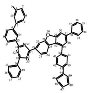 Cc1cccc(-c2cccc(-c3nc(-c4ccccc4)nc(-c4ccc5c(c4)oc4cc(-c6ccccc6)cc(-c6ccc(-c7ccccc7)cc6)c45)n3)c2)c1